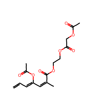 C=CC=C(C=C(C)C(=O)OCCOC(=O)COC(C)=O)OC(C)=O